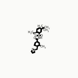 COc1ccc(C(C)(C)C)cc1S(=O)(=O)NC(=O)c1ccc(Cn2cccn2)c(C)c1